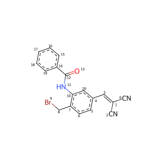 N#CC(C#N)=Cc1ccc(CBr)c(NC(=O)c2ccccc2)c1